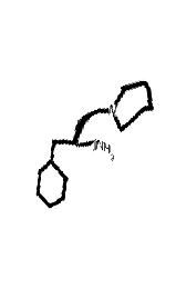 N[C@@H](CC1CCCCC1)CN1CCCC1